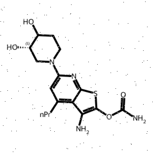 CCCc1cc(N2CCC(O)[C@@H](O)C2)nc2sc(OC(N)=O)c(N)c12